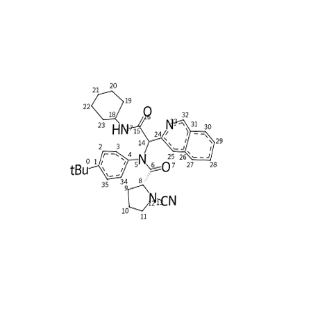 CC(C)(C)c1ccc(N(C(=O)[C@H]2CCCN2C#N)C(C(=O)NC2CCCCC2)c2cc3ccccc3cn2)cc1